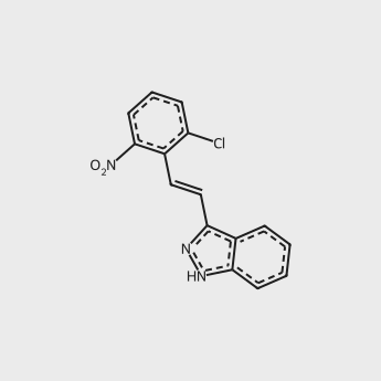 O=[N+]([O-])c1cccc(Cl)c1/C=C/c1n[nH]c2ccccc12